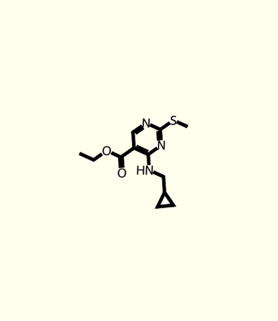 CCOC(=O)c1cnc(SC)nc1NCC1CC1